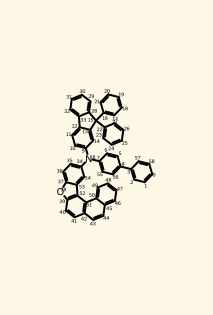 c1ccc(-c2ccc(N(c3ccc4c(c3)C(c3ccccc3)(c3ccccc3)c3ccccc3-4)c3ccc4oc5ccc6ccc7ccccc7c6c5c4c3)cc2)cc1